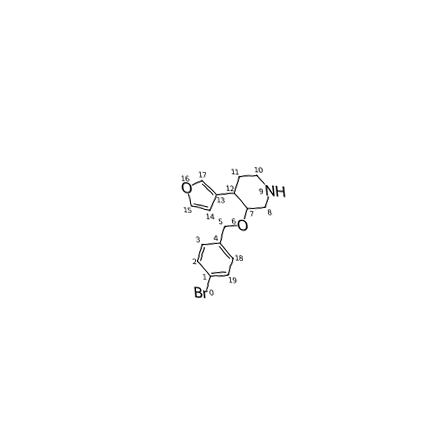 Brc1ccc(COC2CNCCC2c2ccoc2)cc1